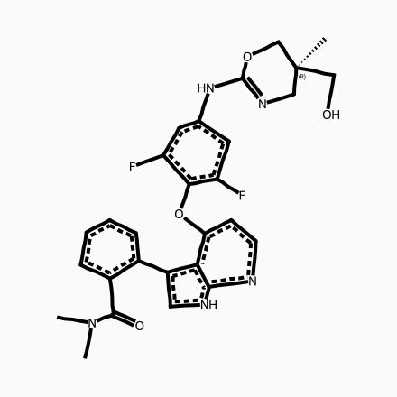 CN(C)C(=O)c1ccccc1-c1c[nH]c2nccc(Oc3c(F)cc(NC4=NC[C@](C)(CO)CO4)cc3F)c12